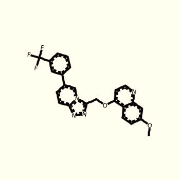 COc1ccc2c(OCc3nnc4ccc(-c5cccc(C(F)(F)F)c5)cn34)ccnc2c1